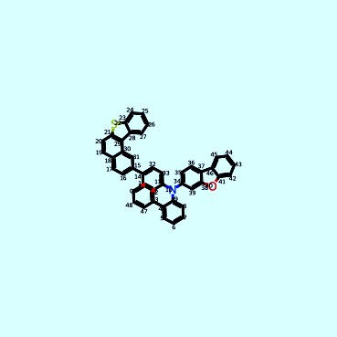 c1ccc(-c2ccccc2N(c2ccc(-c3ccc4ccc5sc6ccccc6c5c4c3)cc2)c2ccc3c(c2)oc2ccccc23)cc1